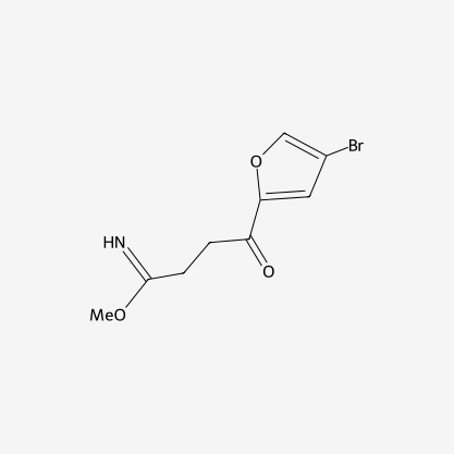 COC(=N)CCC(=O)c1cc(Br)co1